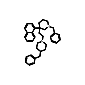 c1ccc(CC2CCN(CCC3(c4cccc5ccccc45)CCCN(Cc4ccccc4)C3)CC2)cc1